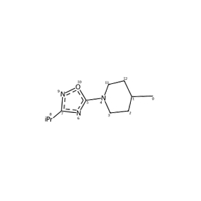 CC1CCN(c2nc(C(C)C)no2)CC1